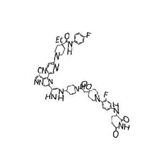 CCC1(C(=O)Nc2ccc(F)cc2)CCN(c2ccc(-c3nc(/C(C=N)=C/NC4CCN(C(=O)CC5(O)CCN(c6ccc(NC7CCC(=O)NC7=O)cc6F)CC5)CC4)cn4ncc(C#N)c34)cn2)CC1